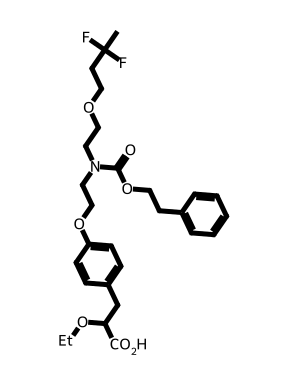 CCOC(Cc1ccc(OCCN(CCOCCC(C)(F)F)C(=O)OCCc2ccccc2)cc1)C(=O)O